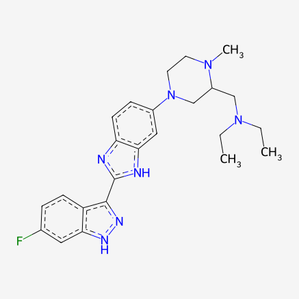 CCN(CC)CC1CN(c2ccc3nc(-c4n[nH]c5cc(F)ccc45)[nH]c3c2)CCN1C